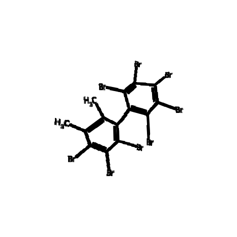 Cc1c(C)c(-c2c(Br)c(Br)c(Br)c(Br)c2Br)c(Br)c(Br)c1Br